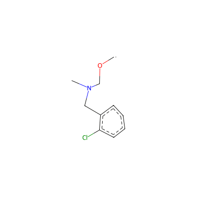 [CH2]OCN(C)Cc1ccccc1Cl